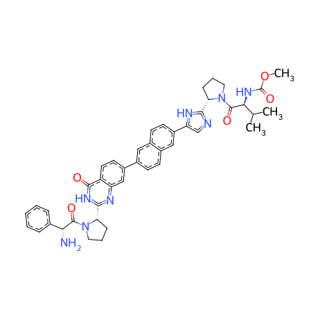 COC(=O)N[C@H](C(=O)N1CCC[C@H]1c1ncc(-c2ccc3cc(-c4ccc5c(=O)[nH]c([C@@H]6CCCN6C(=O)[C@H](N)c6ccccc6)nc5c4)ccc3c2)[nH]1)C(C)C